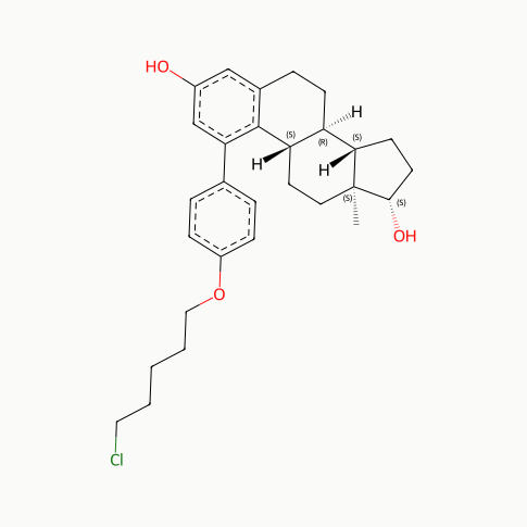 C[C@]12CC[C@@H]3c4c(cc(O)cc4-c4ccc(OCCCCCCl)cc4)CC[C@H]3[C@@H]1CC[C@@H]2O